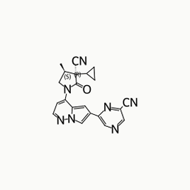 C[C@@H]1CN(c2ccnn3cc(-c4cncc(C#N)n4)cc23)C(=O)[C@]1(C#N)C1CC1